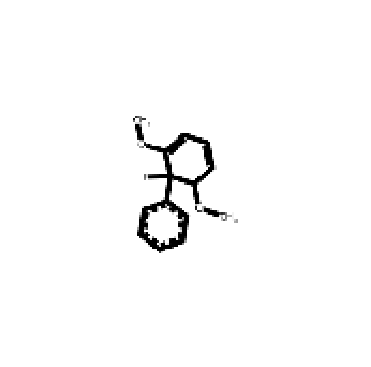 COC1=CC=CC(OC)C1(F)c1ccccc1